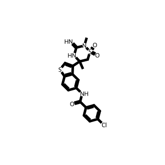 CN1C(=N)NC(C)(c2csc3ccc(NC(=O)c4ccc(Cl)cc4)cc23)CS1(=O)=O